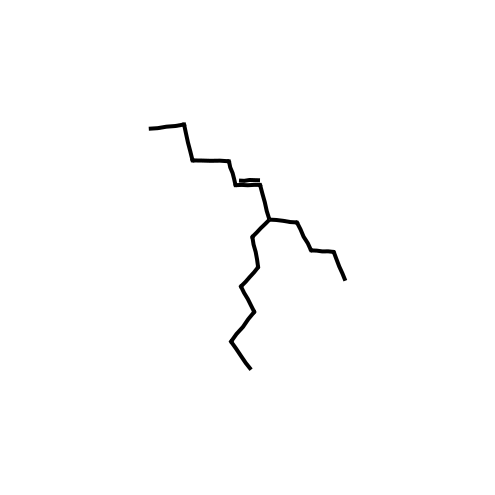 CCCCC=CC(CCCC)CCCCCC